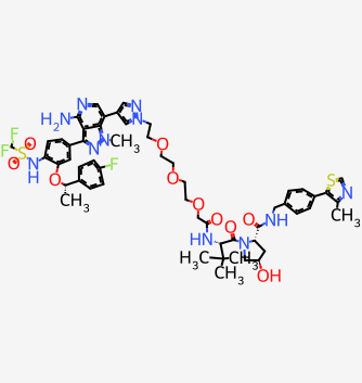 Cc1ncsc1-c1ccc(CNC(=O)[C@@H]2C[C@@H](O)CN2C(=O)[C@@H](NC(=O)COCCOCCOCCn2cc(-c3cnc(N)c4c(-c5ccc(NS(=O)(=O)C(F)F)c(O[C@@H](C)c6ccc(F)cc6)c5)nn(C)c34)cn2)C(C)(C)C)cc1